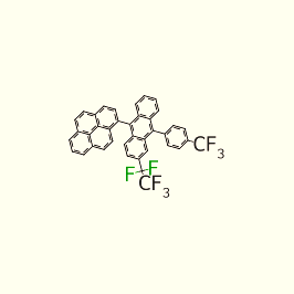 FC(F)(F)c1ccc(-c2c3ccccc3c(-c3ccc4ccc5cccc6ccc3c4c56)c3ccc(C(F)(F)C(F)(F)F)cc23)cc1